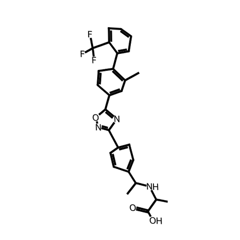 Cc1cc(-c2nc(-c3ccc(C(C)NC(C)C(=O)O)cc3)no2)ccc1-c1ccccc1C(F)(F)F